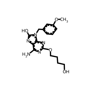 COc1cccc(Cn2c(O)nc3c(N)nc(OCCCCO)nc32)c1